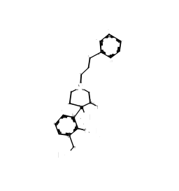 CCc1cccc(C2(C)CCN(CCCc3ccccc3)CC2C)c1N